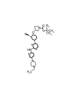 CCN1CCN(c2ccc(Nc3nccc(-c4ccc(OC5CCN(C(=O)OC(C)(C)C)C5)c(C#N)c4)n3)nc2)CC1